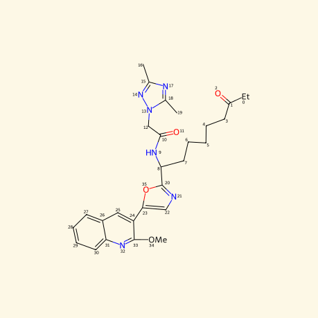 CCC(=O)CCCCCC(NC(=O)Cn1nc(C)nc1C)c1ncc(-c2cc3ccccc3nc2OC)o1